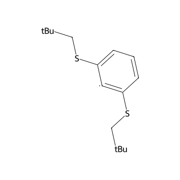 CC(C)(C)CSc1[c]c(SCC(C)(C)C)ccc1